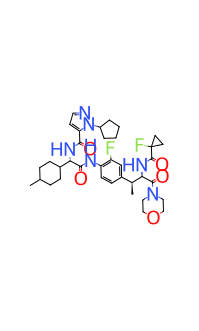 CC1CCC([C@H](NC(=O)c2ccnn2C2CCCC2)C(=O)Nc2ccc([C@H](C)[C@@H](NC(=O)C3(F)CC3)C(=O)N3CCOCC3)cc2F)CC1